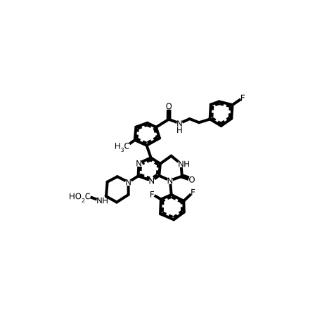 Cc1ccc(C(=O)NCCc2ccc(F)cc2)cc1-c1nc(N2CCC(NC(=O)O)CC2)nc2c1CNC(=O)N2c1c(F)cccc1F